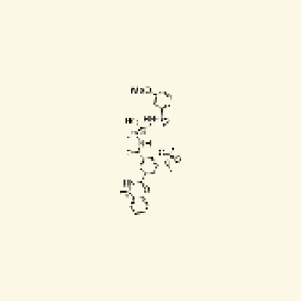 COc1cccc(C2(NC[C@@H](O)[C@H](C)NC(=O)c3cc(C(=O)N[C@H](C)c4ccccc4)cc(N(C)S(C)(=O)=O)c3)CC2)c1